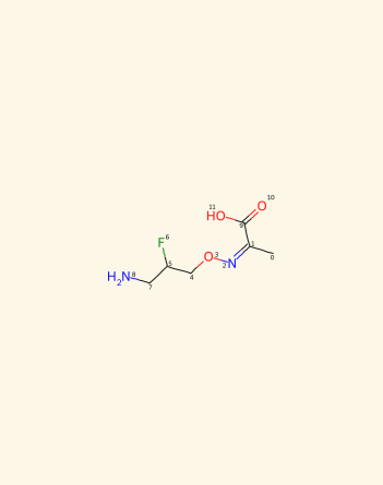 CC(=NOCC(F)CN)C(=O)O